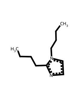 CCCCc1nccn1CCCC